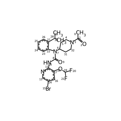 CC(=O)N1CCC(N(C(=O)Nc2ncc(Br)cc2OC(F)F)c2ccccc2C(C)C)CC1